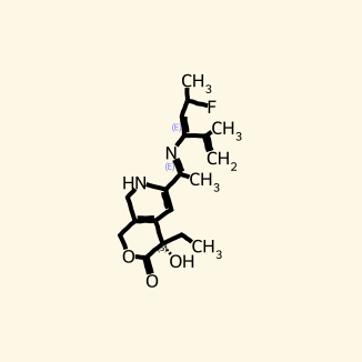 C=C(C)C(=C\C(C)F)/N=C(\C)C1=CC2=C(CN1)COC(=O)[C@]2(O)CC